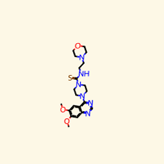 COc1cc2ncnc(N3CCN(C(=S)NCCN4CCOCC4)CC3)c2cc1OC